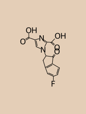 O=C(O)c1cn(C2Cc3cc(F)ccc3C2=O)c(C(=O)O)n1